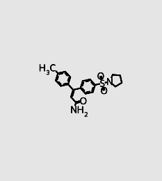 Cc1ccc(C(=CC(N)=O)c2ccc(S(=O)(=O)N3CCCC3)cc2)cc1